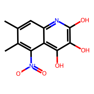 Cc1cc2nc(O)c(O)c(O)c2c([N+](=O)[O-])c1C